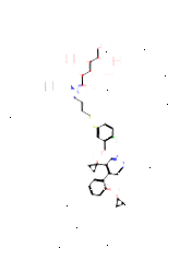 CN(CCCCSc1ccc(Cl)c(COC2(c3cnccc3-c3ccccc3OC3CC3)CC2)c1)C(=O)C(O)C(O)C(O)C(O)CO